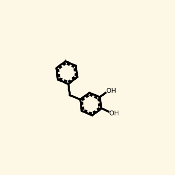 Oc1ccc(Cc2cc[c]cc2)cc1O